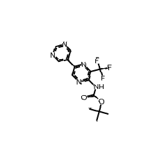 CC(C)(C)OC(=O)Nc1ncc(-c2cncnc2)nc1C(F)(F)F